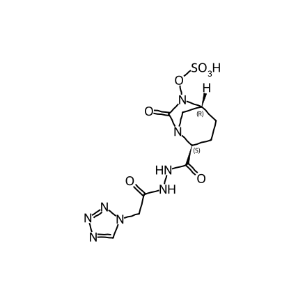 O=C(Cn1cnnn1)NNC(=O)[C@@H]1CC[C@@H]2CN1C(=O)N2OS(=O)(=O)O